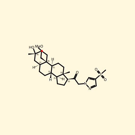 COCC[C@]12CC[C@@](C)(O)C[C@@H]1CC[C@H]1[C@@H]3CC[C@H](C(=O)Cn4cc(S(C)(=O)=O)cn4)[C@@]3(C)CC[C@@H]12